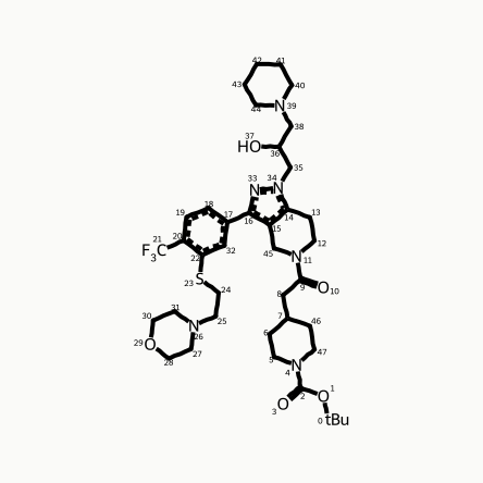 CC(C)(C)OC(=O)N1CCC(CC(=O)N2CCc3c(c(-c4ccc(C(F)(F)F)c(SCCN5CCOCC5)c4)nn3CC(O)CN3CCCCC3)C2)CC1